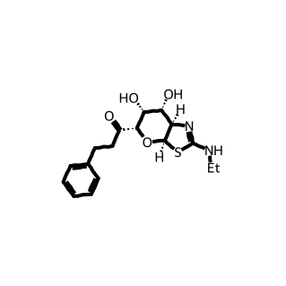 CCNC1=N[C@@H]2[C@@H](O)[C@@H](O)[C@@H](C(=O)CCc3ccccc3)O[C@@H]2S1